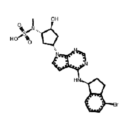 CN([C@H]1C[C@@H](n2ccc3c(N[C@H]4CCc5c(Br)cccc54)ncnc32)C[C@@H]1O)S(=O)(=O)O